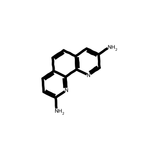 Nc1cnc2c(ccc3ccc(N)nc32)c1